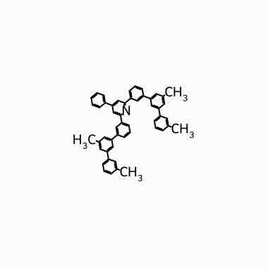 Cc1cccc(-c2cc(C)cc(-c3cccc(-c4cc(-c5ccccc5)cc(-c5cccc(-c6cc(C)cc(-c7cccc(C)c7)c6)c5)n4)c3)c2)c1